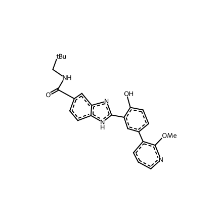 COc1ncccc1-c1ccc(O)c(-c2nc3cc(C(=O)NCC(C)(C)C)ccc3[nH]2)c1